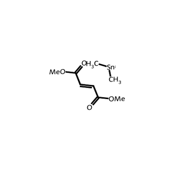 COC(=O)C=CC(=O)OC.[CH3][Sn][CH3]